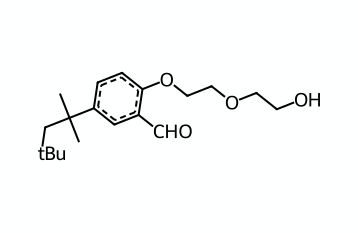 CC(C)(C)CC(C)(C)c1ccc(OCCOCCO)c(C=O)c1